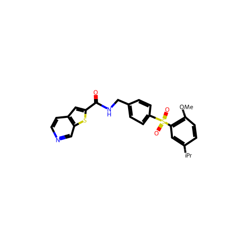 COc1ccc(C(C)C)cc1S(=O)(=O)c1ccc(CNC(=O)c2cc3ccncc3s2)cc1